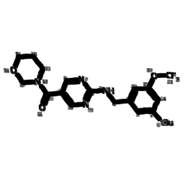 CC(C)(C)c1cc(CNc2ncc(C(=O)N3CCCOC3)cn2)cc(OC(F)(F)F)c1